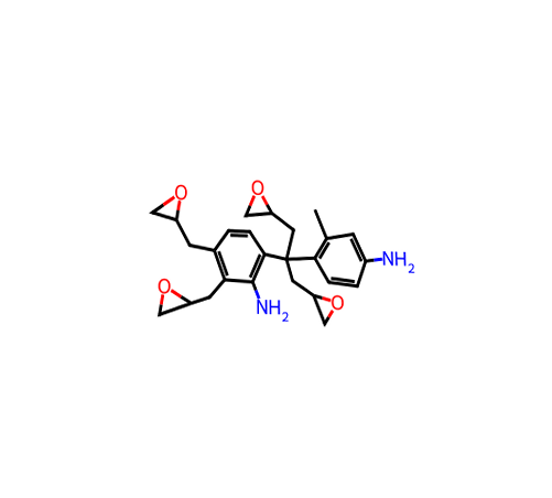 Cc1cc(N)ccc1C(CC1CO1)(CC1CO1)c1ccc(CC2CO2)c(CC2CO2)c1N